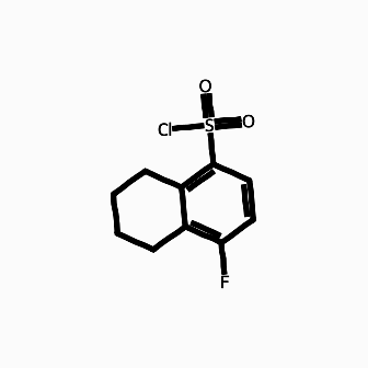 O=S(=O)(Cl)c1ccc(F)c2c1CCCC2